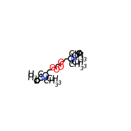 CC1(C)CC(CCOC(=O)CC(=O)OCCC2CC(C)(C)N(Cc3ccccc3)C(C)(C)C2)CC(C)(C)N1Cc1ccccc1